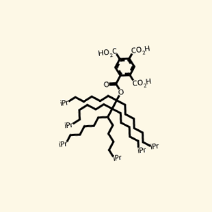 CC(C)CCCCCCC(CCCCCC(C)C)(OC(=O)c1cc(C(=O)O)c(C(=O)O)cc1C(=O)O)C(CCCCCC(C)C)(CCCCCC(C)C)C(CCCCCC(C)C)CCCCC(C)C